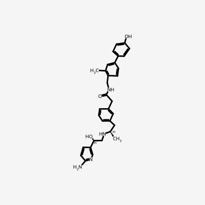 Cc1cc(-c2ccc(O)cc2)ccc1CNC(=O)Cc1cccc(C[C@@H](C)NC[C@H](O)c2ccc(N)nc2)c1